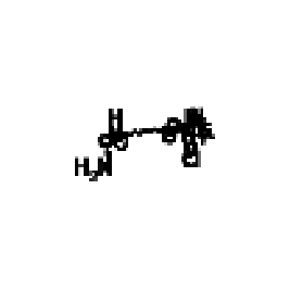 Cc1sc2c(c1C)C(c1ccc(Cl)cc1)=N[C@@H](CCOC(=O)CCCCCCCCCC(=O)Nc1cccc(C#CCN)c1)c1nnc(C)n1-2